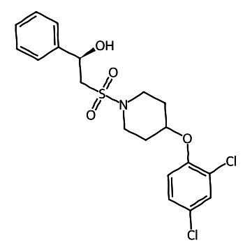 O=S(=O)(C[C@H](O)c1ccccc1)N1CCC(Oc2ccc(Cl)cc2Cl)CC1